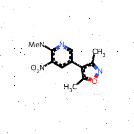 CNc1ncc(-c2c(C)noc2C)cc1[N+](=O)[O-]